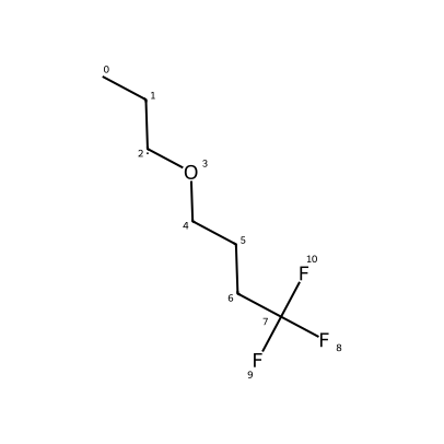 CC[CH]OCCCC(F)(F)F